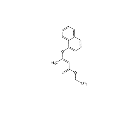 CCOC(=O)C=C(C)Oc1cccc2ccccc12